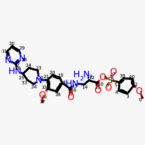 COc1ccc(S(=O)(=O)OC(=O)[C@@H](N)CNC(=O)c2ccc(N3CCC(Nc4ncccn4)CC3)c(OC)c2)cc1